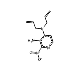 C=CCN(CC=C)c1ccnc([N+](=O)[O-])c1N